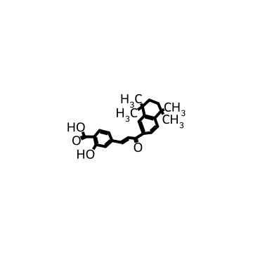 CC1(C)CCC(C)(C)c2cc(C(=O)C=Cc3ccc(C(=O)O)c(O)c3)ccc21